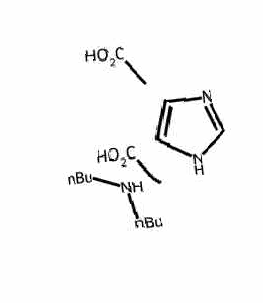 CC(=O)O.CC(=O)O.CCCCNCCCC.c1c[nH]cn1